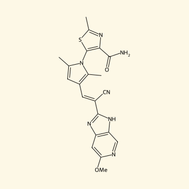 COc1cc2nc(C(C#N)=Cc3cc(C)n(-c4sc(C)nc4C(N)=O)c3C)[nH]c2cn1